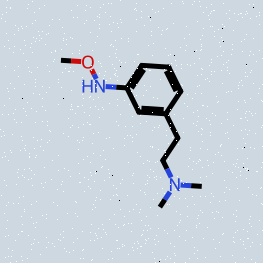 CONc1cccc(CCN(C)C)c1